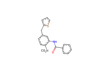 O=C(Nc1cc(Cc2cccs2)ccc1C(=O)O)c1ccccc1